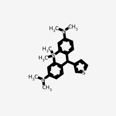 CN(C)c1ccc2c(c1)S(C)(C)c1cc(N(C)C)ccc1C2c1ccsc1